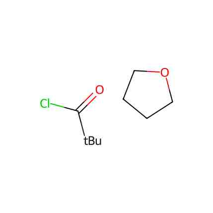 C1CCOC1.CC(C)(C)C(=O)Cl